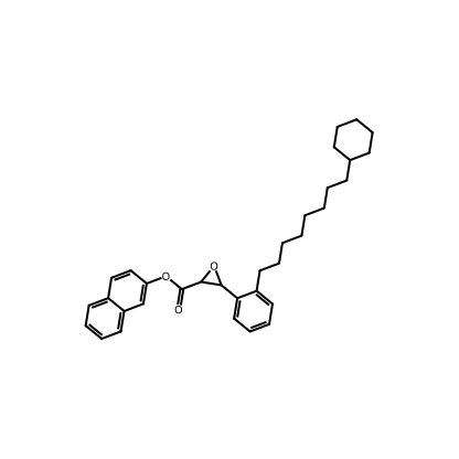 O=C(Oc1ccc2ccccc2c1)C1OC1c1ccccc1CCCCCCCCC1CCCCC1